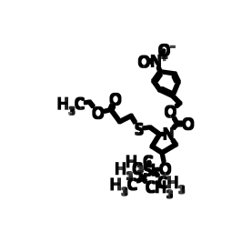 CCOC(=O)CCSCC1CC(O[Si](C)(C)C(C)(C)C)CN1C(=O)OCc1ccc([N+](=O)[O-])cc1